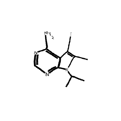 Cc1c(I)c2c(N)ncnc2n1C(C)C